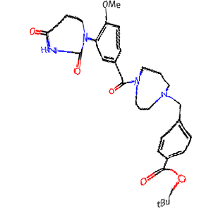 COc1ccc(C(=O)N2CCCN(Cc3ccc(C(=O)OC(C)(C)C)cc3)CC2)cc1N1CCC(=O)NC1=O